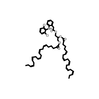 CC/C=C\C/C=C\C/C=C\C/C=C\C/C=C\CCCC1OC1OCC(COC(=O)Cc1ccccc1Nc1c(Cl)cccc1Cl)OC1OC1CCC/C=C\C/C=C\C/C=C\C/C=C\C/C=C\CC